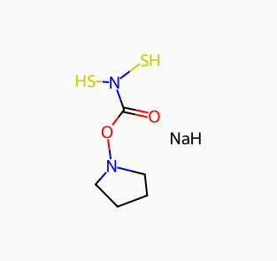 O=C(ON1CCCC1)N(S)S.[NaH]